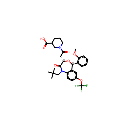 COc1ccccc1[C@@H]1O[C@@H](CC(=O)N2CCCC(C(=O)O)C2)C(=O)N(CC(C)(C)C)c2ccc(OC(F)(F)F)cc21